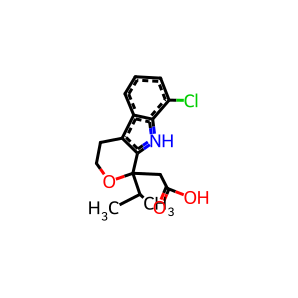 CC(C)C1(CC(=O)O)OCCc2c1[nH]c1c(Cl)cccc21